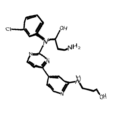 NCC(O)N(c1cccc(Cl)c1)c1nccc(-c2ccnc(NCCO)c2)n1